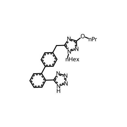 CCCCCCn1nc(OCCC)nc1Cc1ccc(-c2ccccc2-c2nnn[nH]2)cc1